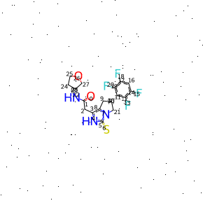 O=C(Cc1[nH]c(=S)n2c1C[C@H](c1c(F)c(F)cc(F)c1F)C2)N[C@@H]1CCOC1